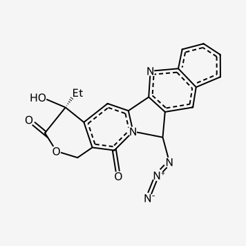 CC[C@@]1(O)C(=O)OCc2c1cc1n(c2=O)C(N=[N+]=[N-])c2cc3ccccc3nc2-1